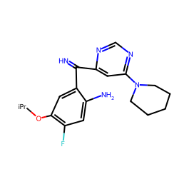 CC(C)Oc1cc(C(=N)c2cc(N3CCCCC3)ncn2)c(N)cc1F